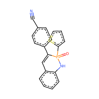 N#Cc1ccc(C2=Cc3ccccc3NP2(=O)c2cccs2)cc1